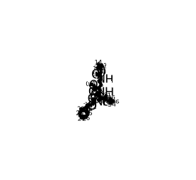 COC(=O)C(CCNC(=O)OC(C)(C)C)NC(=O)C(NC(=O)OCc1ccccc1)C(C)OC(C)(C)C